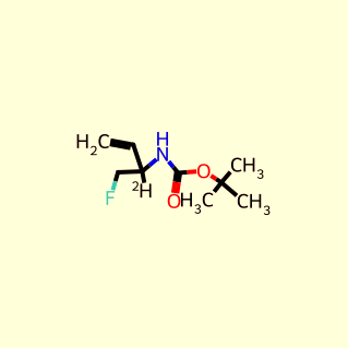 [2H]C(C=C)(CF)NC(=O)OC(C)(C)C